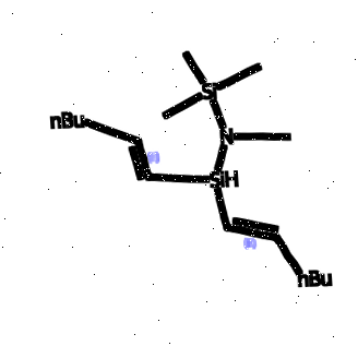 CCCC/C=C/[SiH](/C=C/CCCC)N(C)[Si](C)(C)C